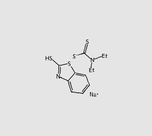 CCN(CC)C(=S)[S-].Sc1nc2ccccc2s1.[Na+]